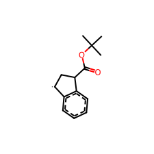 CC(C)(C)OC(=O)C1C[CH]c2ccccc21